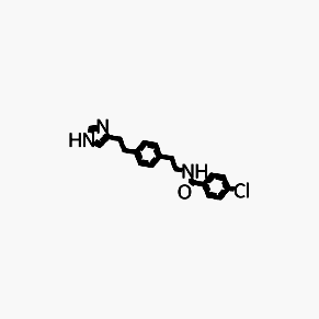 O=C(NCCc1ccc(CCc2c[nH]cn2)cc1)c1ccc(Cl)cc1